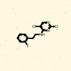 Fc1ccccc1CCNc1nc(Cl)ncc1Cl